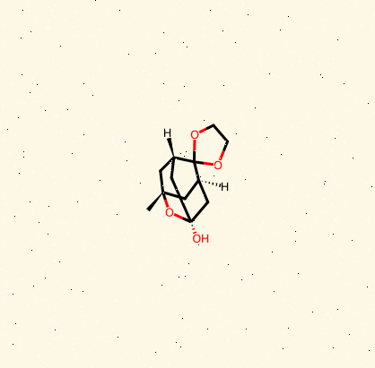 C[C@]12C[C@@H]3C[C@](O)(C[C@H](C1)C31OCCO1)O2